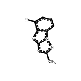 CCc1cccc2c1sc1nc(C(F)(F)F)nn12